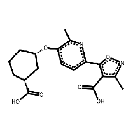 Cc1nc(-c2onc(C)c2C(=O)O)ccc1O[C@H]1CCC[C@H](C(=O)O)C1